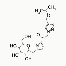 CC(C)OCc1cn(CC(=O)C2=CCC(CC3OC(CO)C(O)C(O)C3O)=N2)nn1